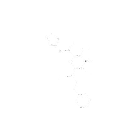 C=C(Nc1cnoc1)c1nc(N(C)CCc2ccccc2)n(C)c(=O)c1O